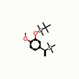 C=C(c1ccc(OC)c(O[Si](C)(C)C(C)(C)C)c1)[Si](C)(C)C